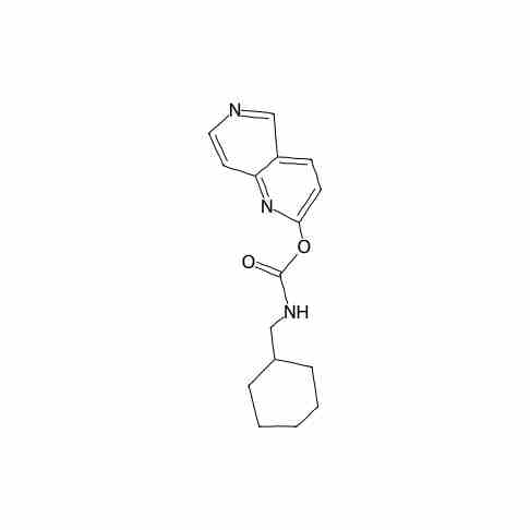 O=C(NCC1CCCCC1)Oc1ccc2cnccc2n1